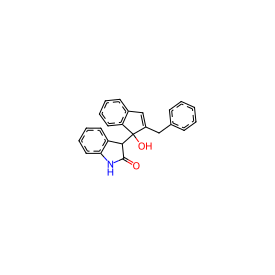 O=C1Nc2ccccc2C1C1(O)C(Cc2ccccc2)=Cc2ccccc21